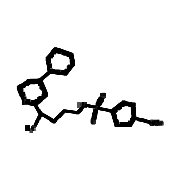 COc1ccc(S(=O)(=O)NCCCC(C)c2cc(-c3ccccc3)ccn2)cc1